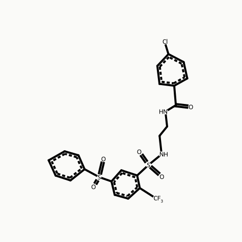 O=C(NCCNS(=O)(=O)c1cc(S(=O)(=O)c2ccccc2)ccc1C(F)(F)F)c1ccc(Cl)cc1